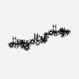 CCCn1c(SCC(=O)Nc2ccc(-c3ccc(-c4nnc(S[C@H](F)C(=O)Nc5ccccc5)n4C(C)c4ccccc4)s3)cc2)nnc1-c1ccc(-c2ccc(NC(=O)CSc3nnc(-c4cccs4)n3C3CC3)cc2)s1